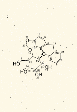 OC[C@H]1C[C@@H](Oc2ccccc2Cc2ccc3c(c2)OCO3)[C@H](O)[C@@H](O)[C@@H]1O